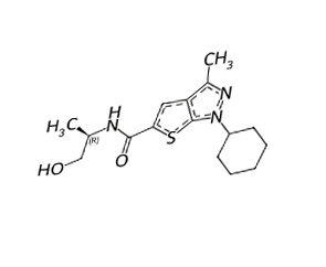 Cc1nn(C2CCCCC2)c2sc(C(=O)N[C@H](C)CO)cc12